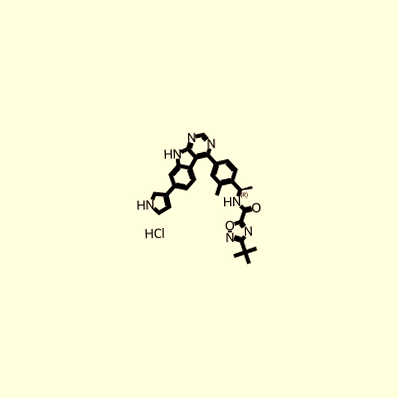 Cc1cc(-c2ncnc3[nH]c4cc(C5=CCNC5)ccc4c23)ccc1[C@@H](C)NC(=O)c1nc(C(C)(C)C)no1.Cl